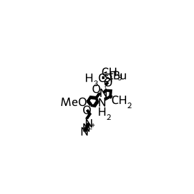 C=C1C[C@@H](CO[Si](C)(C)C(C)(C)C)N(C(=O)c2cc(OC)c(OCCN=[N+]=[N-])cc2N)C1